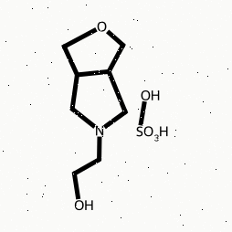 O=S(=O)(O)O.OCCN1CC2COCC2C1